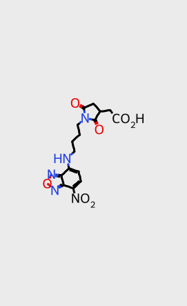 O=C(O)CC1CC(=O)N(CCCCNc2ccc([N+](=O)[O-])c3nonc23)C1=O